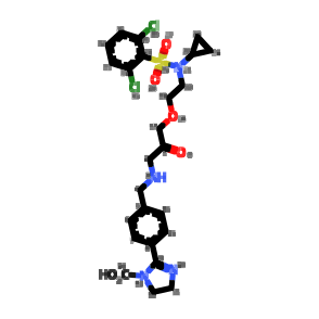 O=C(CNCc1ccc(C2=NCCN2C(=O)O)cc1)COCCN(C1CC1)S(=O)(=O)c1c(Cl)cccc1Cl